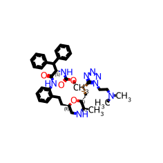 COC(=O)N[C@H](C(=O)Nc1ccccc1CC[C@@H]1CN[C@H](C)[C@@H](CSc2nnnn2CCN(C)C)O1)C(c1ccccc1)c1ccccc1